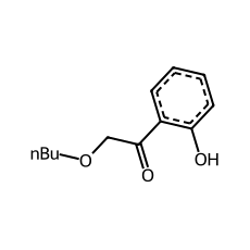 CCCCOCC(=O)c1ccccc1O